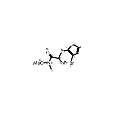 CCCC(Sc1sccc1Br)C(=O)N(C)OC